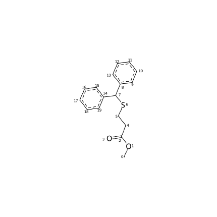 COC(=O)CCSC(c1ccccc1)c1ccccc1